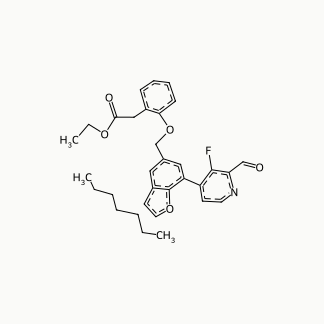 CCCCCCC.CCOC(=O)Cc1ccccc1OCc1cc(-c2ccnc(C=O)c2F)c2occc2c1